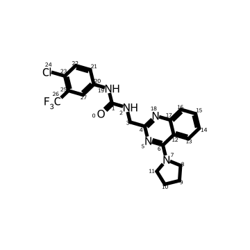 O=C(NCc1nc(N2CCCC2)c2ccccc2n1)Nc1ccc(Cl)c(C(F)(F)F)c1